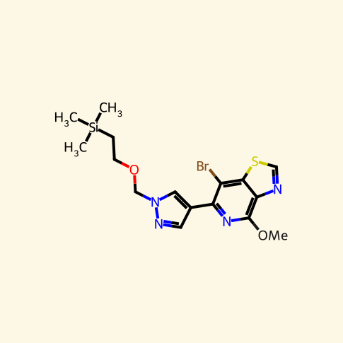 COc1nc(-c2cnn(COCC[Si](C)(C)C)c2)c(Br)c2scnc12